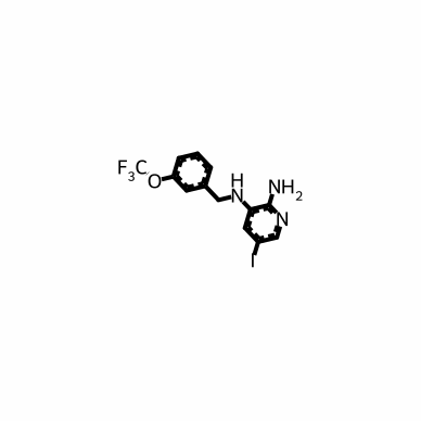 Nc1ncc(I)cc1NCc1cccc(OC(F)(F)F)c1